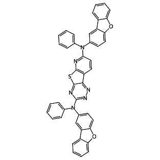 c1ccc(N(c2ccc3oc4ccccc4c3c2)c2ccc3c(n2)sc2nc(N(c4ccccc4)c4ccc5oc6ccccc6c5c4)nnc23)cc1